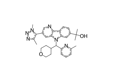 Cc1cccc(C(C2CCOCC2)n2c3cc(C(C)(C)O)ccc3c3ncc(-c4c(C)nnn4C)cc32)n1